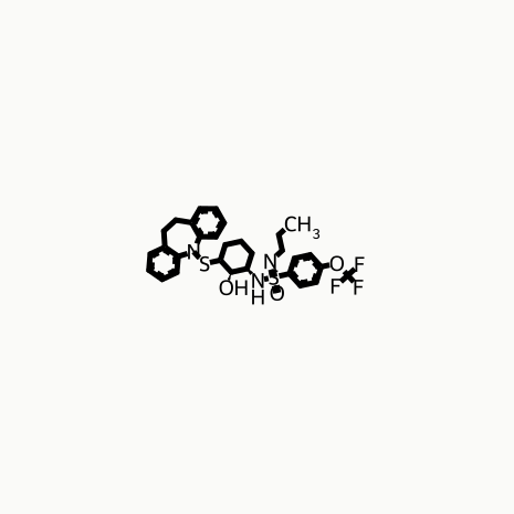 CCCN=S(=O)(N[C@@H]1CCCC(SN2c3ccccc3CCc3ccccc32)[C@H]1O)c1ccc(OC(F)(F)F)cc1